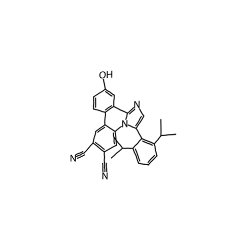 CC(C)c1cccc(C(C)C)c1-c1cnc2c3cc(O)ccc3c3cc(C#N)c(C#N)cc3n12